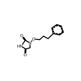 O=C1CN(OCCCc2ccccc2)C(=O)N1